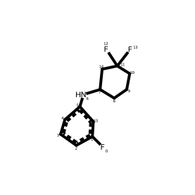 Fc1cccc(NC2CCCC(F)(F)C2)c1